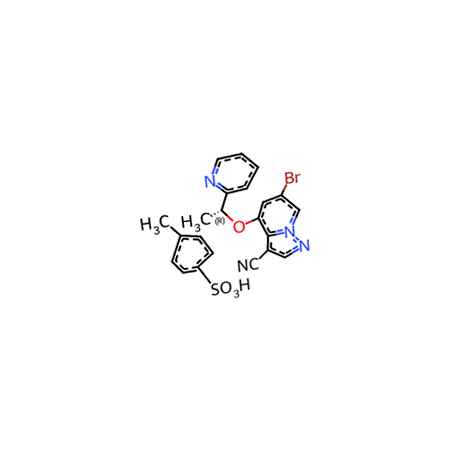 C[C@@H](Oc1cc(Br)cn2ncc(C#N)c12)c1ccccn1.Cc1ccc(S(=O)(=O)O)cc1